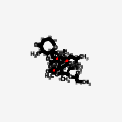 CCC(=O)O[C@H](CC)[C@@]1(C)OC(=O)N[C@@H]1[C@@H](C)N(CC(C)C)C[C@H](C)CC1(C)OCCCC(=O)[C@H](C)[C@H]1O[C@@H]1OC(C)CC(N(C)C)C1O